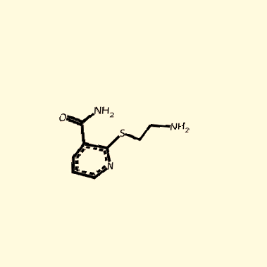 NCCSc1ncccc1C(N)=O